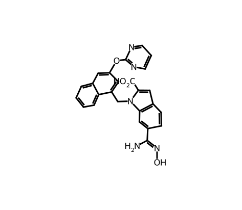 N/C(=N\O)c1ccc2cc(C(=O)O)n(Cc3cc(Oc4ncccn4)cc4ccccc34)c2c1